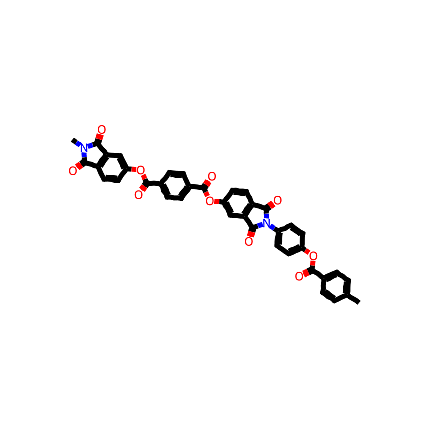 Cc1ccc(C(=O)Oc2ccc(N3C(=O)c4ccc(OC(=O)c5ccc(C(=O)Oc6ccc7c(c6)C(=O)N(C)C7=O)cc5)cc4C3=O)cc2)cc1